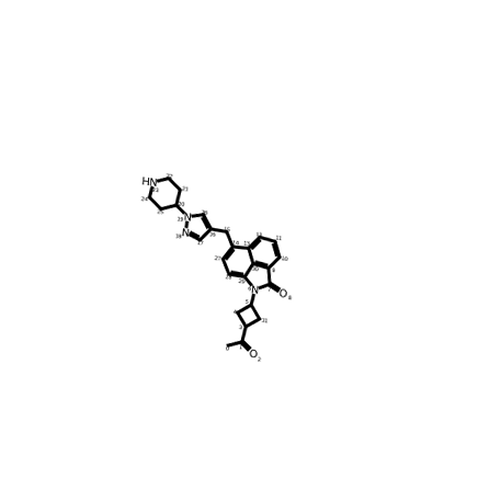 CC(=O)C1CC(N2C(=O)c3cccc4c(Cc5cnn(C6CCNCC6)c5)ccc2c34)C1